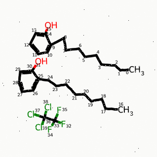 CCCCCCCCCc1ccccc1O.CCCCCCCCCc1ccccc1O.FC(F)(F)C(Cl)(Cl)Cl